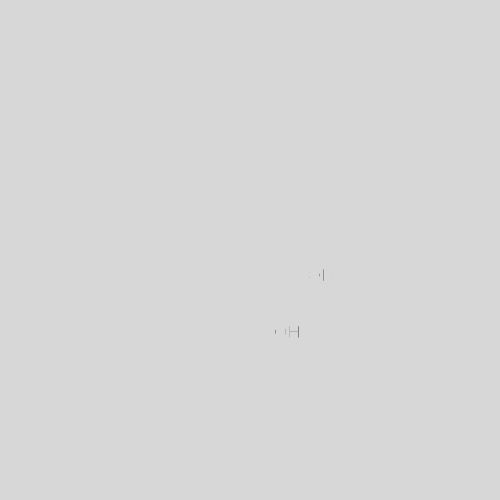 OC[C@@H](O)C(c1ccccc1)c1ccccc1